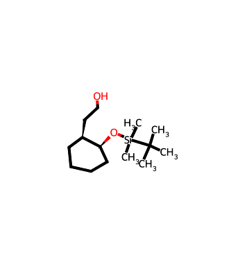 CC(C)(C)[Si](C)(C)O[C@H]1CCCC[C@H]1CCO